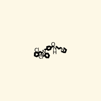 O=C(NCCCN1CCCCC1)c1ccc(Cn2c(Cc3c(Cl)cccc3Cl)nc3ccccc32)cc1